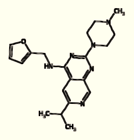 CC(C)c1cc2c(NCc3ccco3)nc(N3CCN(C)CC3)nc2cn1